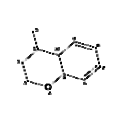 CC1CCOC2C=CC=CC12